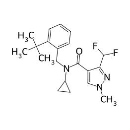 Cn1cc(C(=O)N(Cc2ccccc2C(C)(C)C)C2CC2)c(C(F)F)n1